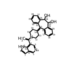 C=C(c1cncc2cc[nH]c12)N1CCC(=C2c3ccccc3C(O)C(O)c3ccccc32)CC1